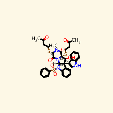 CC(=O)CCS[C@H]1C(=O)N2[C@H]3N(S(=O)(=O)c4ccccc4)c4ccccc4[C@@]3(c3c[nH]c4ccccc34)[C@H](O)[C@]2(SCCC(C)=O)C(=O)N1C